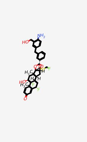 C[C@]12C=CC(=O)C=C1[C@@H](F)C[C@H]1[C@@H]3C[C@H]4O[C@@H](c5cccc(Cc6ccc(N)c(CO)c6)c5)O[C@@]4(C(=O)SCF)[C@@]3(C)C[C@H](O)[C@@]12F